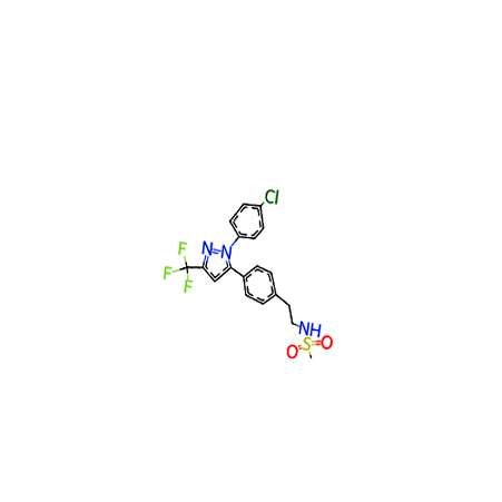 CS(=O)(=O)NCCc1ccc(-c2cc(C(F)(F)F)nn2-c2ccc(Cl)cc2)cc1